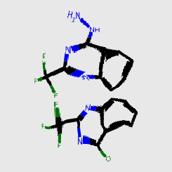 FC(F)(F)c1nc(Cl)c2ccccc2n1.NNc1nc(C(F)(F)F)nc2ccccc12